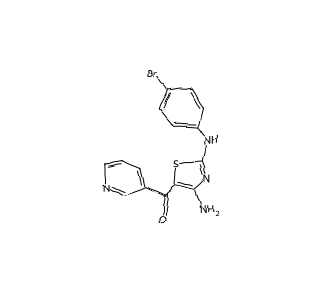 Nc1nc(Nc2ccc(Br)cc2)sc1C(=O)c1cccnc1